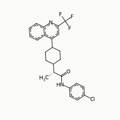 C[C@@H](C(=O)Nc1ccc(Cl)cc1)C1CCC(c2cc(C(F)(F)F)nc3ccccc23)CC1